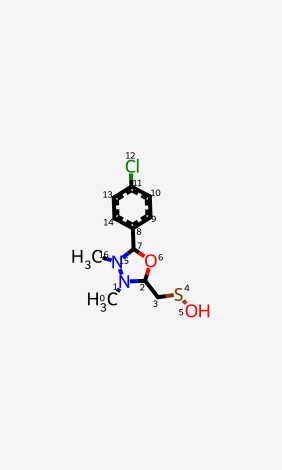 CN1C(CSO)OC(c2ccc(Cl)cc2)N1C